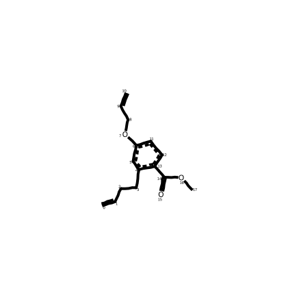 C=CCCc1cc(OCC=C)ccc1C(=O)OC